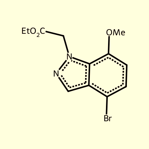 CCOC(=O)Cn1ncc2c(Br)ccc(OC)c21